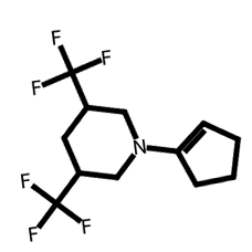 FC(F)(F)C1CC(C(F)(F)F)CN(C2=CCCC2)C1